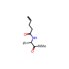 C=CCCC(=O)NC(C(=O)NC)C(C)C